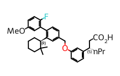 CCC[C@@H](CC(=O)O)c1cccc(OCc2ccc(-c3cc(OC)ccc3F)c([C@@H]3CCCCC3(C)C)c2)c1